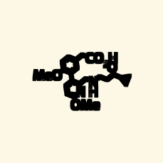 COc1ccc(-c2cc(CC(=O)O)ccc2OC)c(CNCCC(=O)C2CC2)n1